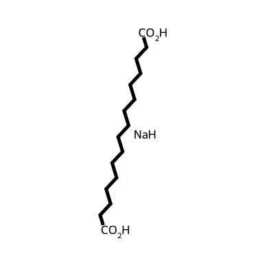 O=C(O)CCCCCCCCCCCCCCC(=O)O.[NaH]